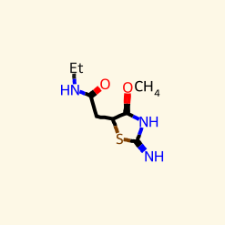 C.CCNC(=O)CC1SC(=N)NC1=O